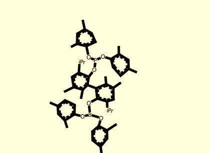 Cc1ccc(OB(Oc2ccc(C)cc2C)Oc2c(C(C)C)cc(C)c(C)c2-c2c(C)c(C)cc(C(C)C)c2OP(Oc2ccc(C)cc2C)Oc2ccc(C)cc2C)c(C)c1